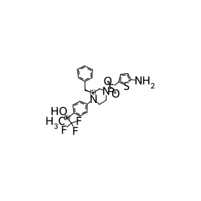 C[C@@](O)(c1ccc(N2CCN(S(=O)(=O)c3ccc(N)s3)C[C@@H]2Cc2ccccc2)cc1)C(F)(F)F